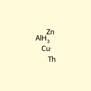 [AlH3].[Cu].[Th].[Zn]